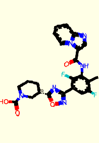 Cc1c(F)cc(-c2noc([C@H]3CCCN(C(=O)O)C3)n2)c(F)c1NC(=O)c1cnc2ccccn12